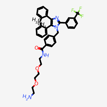 Cc1ccccc1-c1nc(-c2cccc(C(F)(F)F)c2)n(Cc2ccc(C(=O)NCCOCCOCCN)cc2)c1-c1ccccc1C